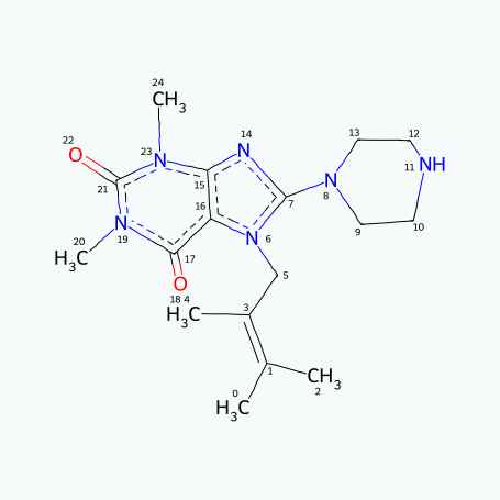 CC(C)=C(C)Cn1c(N2CCNCC2)nc2c1c(=O)n(C)c(=O)n2C